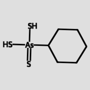 S=[As](S)(S)C1CCCCC1